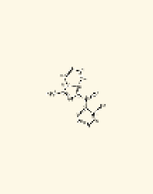 CCCc1nc(C(=O)c2ccccc2I)c2ccccn12